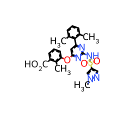 Cc1cccc(C)c1-c1cc(Oc2cccc(C(=O)O)c2C)nc(NS(=O)(=O)c2cnn(C)c2)n1